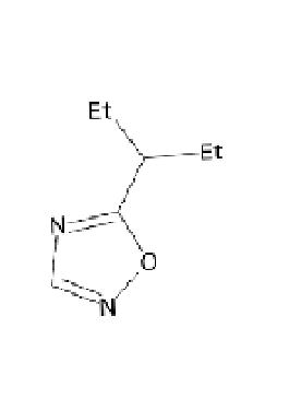 CCC(CC)c1ncno1